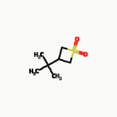 CC(C)(C)C1CS(=O)(=O)C1